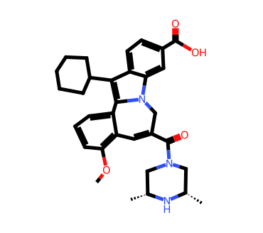 COc1cccc2c1C=C(C(=O)N1C[C@@H](C)N[C@@H](C)C1)Cn1c-2c(C2CCCCC2)c2ccc(C(=O)O)cc21